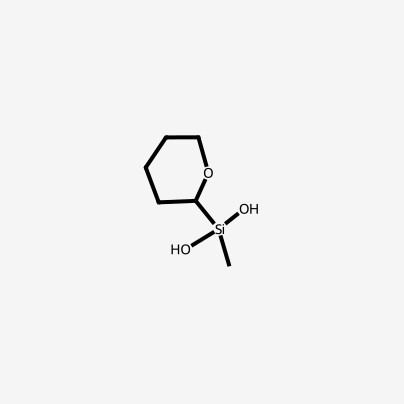 C[Si](O)(O)C1CCCCO1